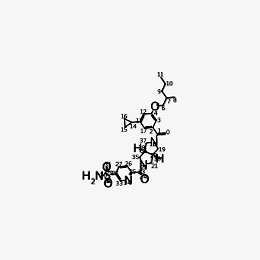 C=C(c1cc(OCC(C)CCC)cc(C2CC2)c1)N1C[C@@H]2CN(C(=O)c3ccc(S(N)(=O)=O)cn3)C[C@H]2C1